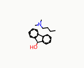 CCCCN(C)C.OC1c2ccccc2-c2ccccc21